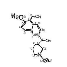 COc1ccc2cc(C(=O)C3CCCN(C(C)(C)C)C3)ccc2c1CC#N